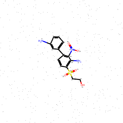 Nc1cccc(-c2ccc(S(=O)(=O)CCO)c(N)c2[N+](=O)[O-])c1